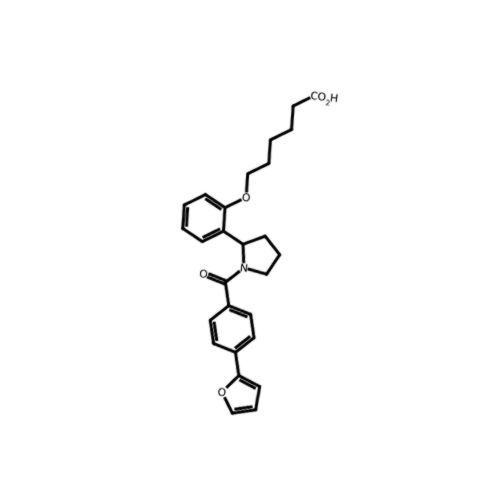 O=C(O)CCCCCOc1ccccc1C1CCCN1C(=O)c1ccc(-c2ccco2)cc1